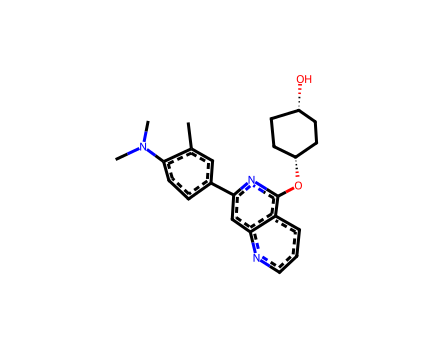 Cc1cc(-c2cc3ncccc3c(O[C@H]3CC[C@@H](O)CC3)n2)ccc1N(C)C